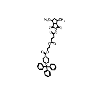 CC1CC(C)C2C(=O)N(OC(=O)CCC(=O)OCCOC(=O)N3CCN(C(c4ccccc4)(c4ccccc4)c4ccccc4)CC3)C(=O)C12